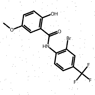 COc1ccc(O)c(C(=O)Nc2ccc(C(F)(F)F)cc2Br)c1